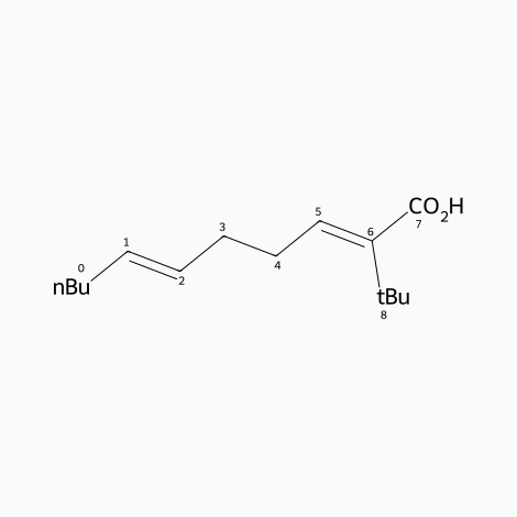 CCCCC=CCCC=C(C(=O)O)C(C)(C)C